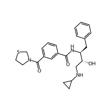 O=C(N[C@@H](Cc1ccccc1)[C@H](O)CNC1CC1)c1cccc(C(=O)N2CCSC2)c1